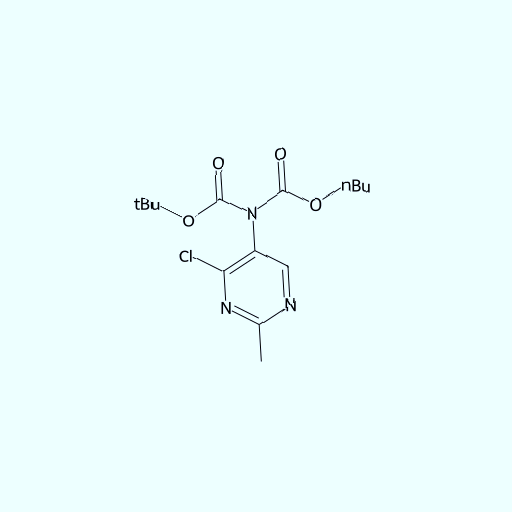 CCCCOC(=O)N(C(=O)OC(C)(C)C)c1cnc(C)nc1Cl